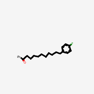 CC(C)C(=O)CCCCCCCCCCc1ccc(F)cc1